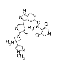 C[C@@H](Oc1ccc2[nH]nc(-c3cnc(N4CC(N)(c5cnn(C)c5)C4)c(F)c3)c2c1)c1c(Cl)cncc1Cl